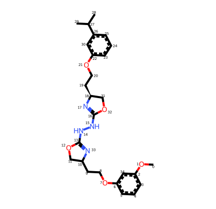 COc1cccc(OCCC2COC(NNC3=N[C@@H](CCOc4cccc(C(C)C)c4)CO3)=N2)c1